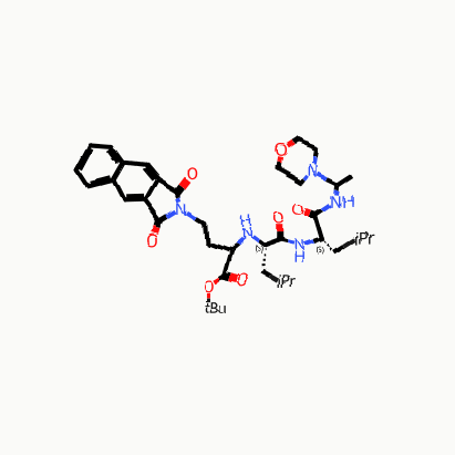 CC(C)C[C@H](NC(=O)[C@H](CC(C)C)NC(CCN1C(=O)c2cc3ccccc3cc2C1=O)C(=O)OC(C)(C)C)C(=O)NC(C)N1CCOCC1